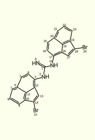 N=C(Nc1ccc2cccc3c2c1C=C3Br)Nc1ccc2cccc3c2c1C=C3Br